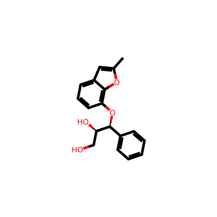 Cc1cc2cccc(O[C@@H](c3ccccc3)[C@H](O)CO)c2o1